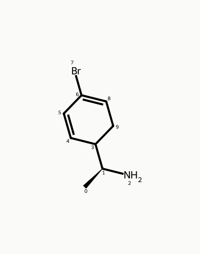 C[C@H](N)C1C=CC(Br)=CC1